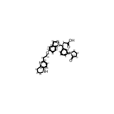 O=C(O)C[C@@H](c1cccc(N2CCCC2=O)c1)n1ncc2cc(OCCc3ccc4c(n3)CCCN4)ccc21